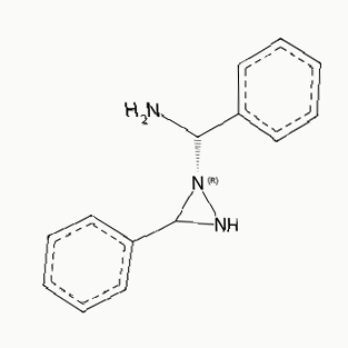 NC(c1ccccc1)[N@]1NC1c1ccccc1